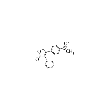 C[S@+]([O-])c1ccc(C2=C(c3ccccc3)C(=O)OC2)cc1